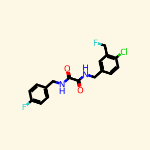 O=C(NCc1ccc(F)cc1)C(=O)NCc1ccc(Cl)c(CF)c1